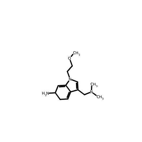 COCCn1cc(CN(C)C)c2c1=CC(N)CC=2